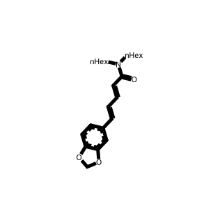 CCCCCCN(CCCCCC)C(=O)/C=C/C=C/c1ccc2c(c1)OCO2